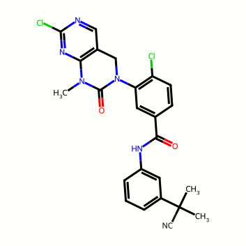 CN1C(=O)N(c2cc(C(=O)Nc3cccc(C(C)(C)C#N)c3)ccc2Cl)Cc2cnc(Cl)nc21